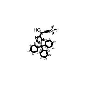 C[Si](C)(C)C#CC(O)c1ncn(C(c2ccccc2)(c2ccccc2)c2ccccc2)n1